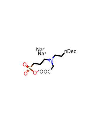 CCCCCCCCCCCCN(CCCS(=O)(=O)[O-])CC(=O)[O-].[Na+].[Na+]